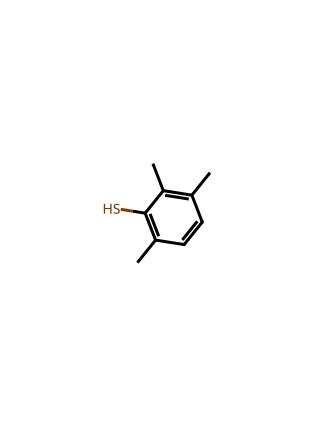 Cc1ccc(C)c(S)c1C